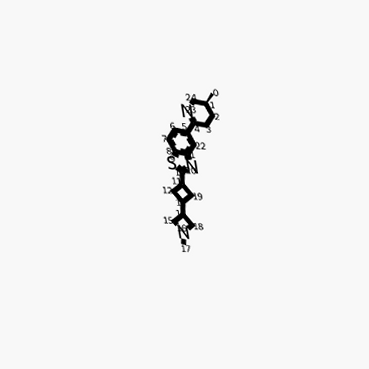 C[C@H]1CCC(c2ccc3sc(C4CC(C5CN(C)C5)C4)nc3c2)=NC1